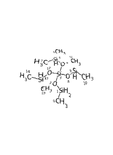 C[SiH2]O[Si](O[SiH](C)C)(O[SiH](C)C)O[SiH](C)C